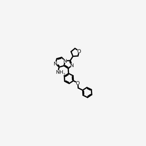 Nc1nccn2c(C3CCOC3)nc(-c3cccc(OCc4ccccc4)c3)c12